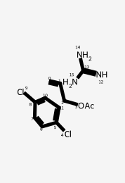 C=CCOC(C)=O.Clc1ccc(Cl)cc1.N=C(N)N